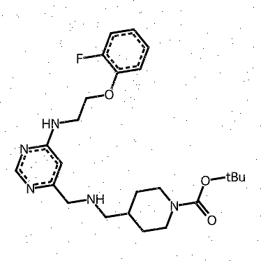 CC(C)(C)OC(=O)N1CCC(CNCc2cc(NCCOc3ccccc3F)ncn2)CC1